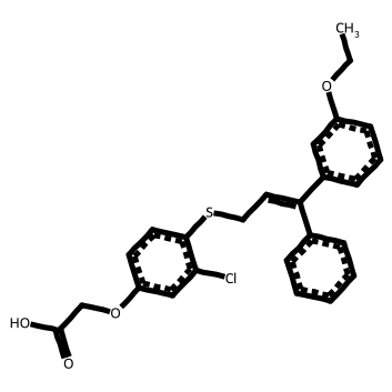 CCOc1cccc(C(=CCSc2ccc(OCC(=O)O)cc2Cl)c2ccccc2)c1